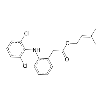 CC(C)=CCOC(=O)Cc1ccccc1Nc1c(Cl)cccc1Cl